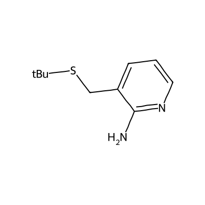 CC(C)(C)SCc1cccnc1N